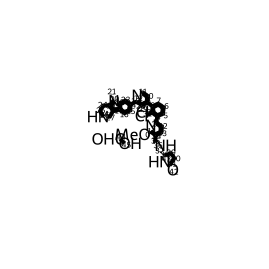 COc1nc(-c2cccc(-c3ccnc(-c4ccc5c6c(n(C)c5c4)CCNC6)c3Cl)c2Cl)ccc1CNC[C@@H]1CCC(=O)N1.O=CO